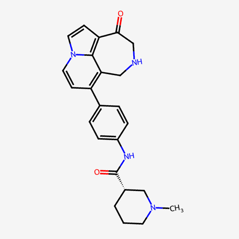 CN1CCC[C@H](C(=O)Nc2ccc(-c3ccn4ccc5c4c3CNCC5=O)cc2)C1